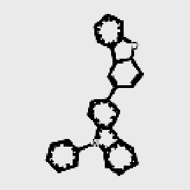 C1=CC2Oc3ccccc3C2C=C1c1ccc2c(c1)c1ccccc1n2-c1ccccc1